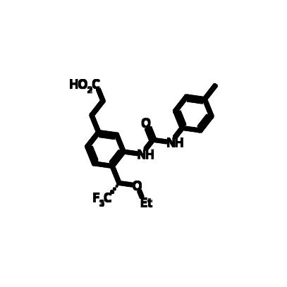 CCO[C@@H](c1ccc(CCC(=O)O)cc1NC(=O)Nc1ccc(C)cc1)C(F)(F)F